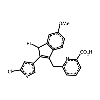 CCC1C(c2csc(Cl)c2)=C(Cc2cccc(C(=O)O)n2)c2ccc(OC)cc21